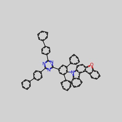 c1ccc(-c2ccc(-c3nc(-c4ccc(-c5ccccc5)cc4)nc(-c4cc(-c5ccccc5)c(-n5c6ccccc6c6c7c(ccc65)oc5ccccc57)c(-c5ccccc5)c4)n3)cc2)cc1